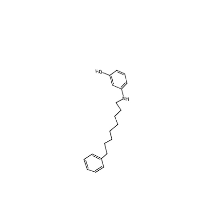 Oc1cccc(NCCCCCCCCc2ccccc2)c1